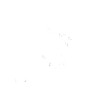 Cc1cccc(C)c1-c1cc2nc(n1)NS(=O)(=O)c1cccc(c1)C(=O)N([C@H]1CC3(C[C@H](CO)C3)C1)[C@H](CC1(C(F)(F)F)CC1)CO2